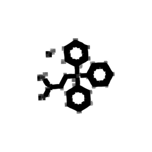 CC(C)N(CC[P+](c1ccccc1)(c1ccccc1)c1ccccc1)C(C)C.[Br-]